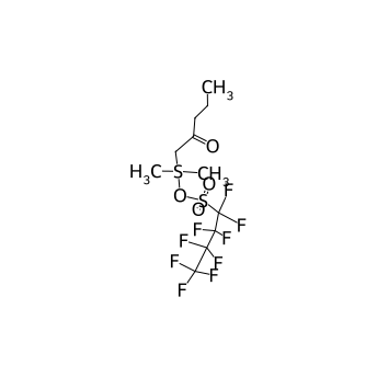 CCCC(=O)CS(C)(C)OS(=O)(=O)C(F)(F)C(F)(F)C(F)(F)C(F)(F)F